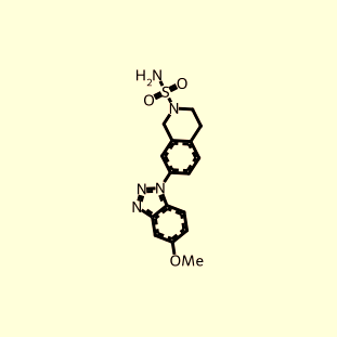 COc1ccc2c(c1)nnn2-c1ccc2c(c1)CN(S(N)(=O)=O)CC2